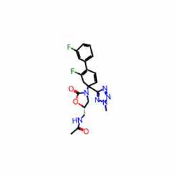 CC(=O)NC[C@H]1CN(C2(c3nnn(C)n3)C=CC(c3cccc(F)c3)=C(F)C2)C(=O)O1